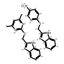 Cc1cc(C)nc(SCc2nc3ccccc3[nH]2)n1.O=[N+]([O-])c1ccc(SCc2nc3ccccc3[nH]2)nc1